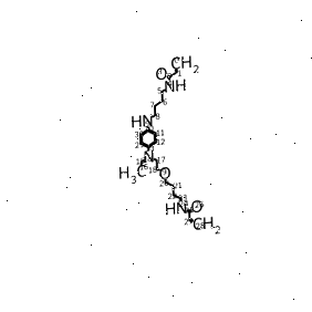 C=CC(=O)NCCCCNc1ccc(N(CC)CCOCCCCNC(=O)C=C)cc1